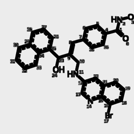 O=C(NO)c1ccc(C=C(CNc2cnc3c(Br)cccc3c2)C(O)c2cccc3ccccc23)cc1